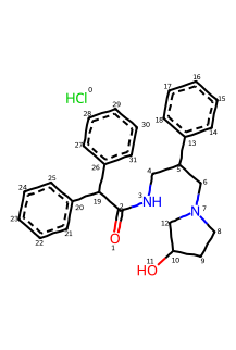 Cl.O=C(NCC(CN1CCC(O)C1)c1ccccc1)C(c1ccccc1)c1ccccc1